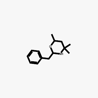 CC1CC(C)(C)NC(Cc2ccccc2)O1